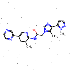 Cc1c(-c2ccnn2C)ncn1CC(O)NC1=NC=C(c2cnccn2)CC1C